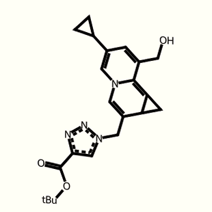 CC(C)(C)OC(=O)c1cn(CC2=CN3C=C(C4CC4)C=C(CO)C3=C3CC23)nn1